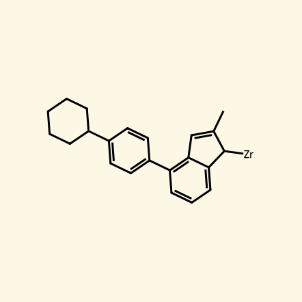 CC1=Cc2c(-c3ccc(C4CCCCC4)cc3)cccc2[CH]1[Zr]